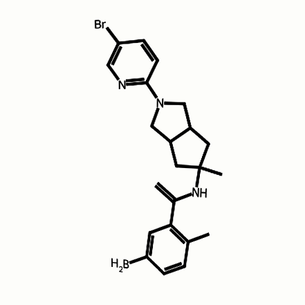 Bc1ccc(C)c(C(=C)NC2(C)CC3CN(c4ccc(Br)cn4)CC3C2)c1